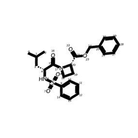 CC(C)C[C@@H](NS(=O)(=O)c1ccccc1)C(=O)N1CC[C@H]1C(=O)OCc1ccccc1